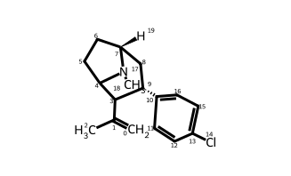 C=C(C)C1C2CC[C@H](C[C@@H]1c1ccc(Cl)cc1)N2C